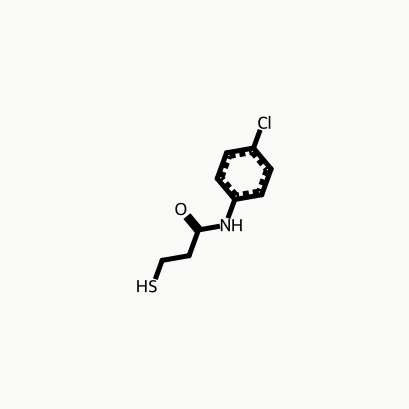 O=C(CCS)Nc1ccc(Cl)cc1